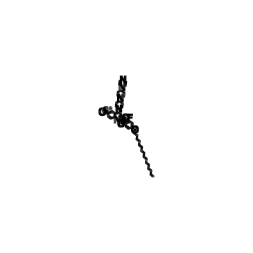 CCCCCCCCCCCCCCCCOc1ccc(S(=O)(=O)c2cc(N3CCC(N4CCC(N5CCN(C)CC5)CC4)CC3)c3cc([S+](C)[O-])ccc3n2)c(F)c1